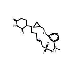 C[C@@H](NS(=O)(=O)C/C=C/CCCC1CCC(=O)NC1=O)c1cccc(OCC2CC2)c1